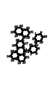 c1ccc(-c2cccc(N(c3ccccc3)c3cc(-c4cccc5ccccc45)ccc3-c3ccccc3)c2)cc1